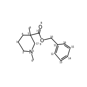 CN1CCCC(C)(C(=O)OCc2ccccc2)C1